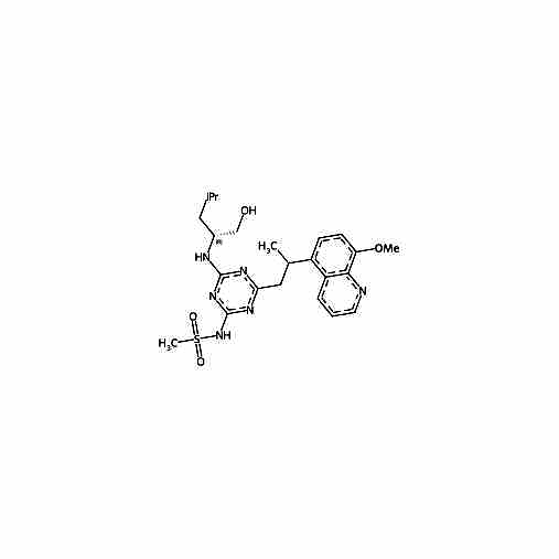 COc1ccc(C(C)Cc2nc(N[C@@H](CO)CC(C)C)nc(NS(C)(=O)=O)n2)c2cccnc12